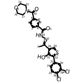 C/C(=N\NC(=O)c1ccc(C(=O)N2CCOCC2)s1)c1csc(-c2ccc(Cl)c(Cl)c2)c1O